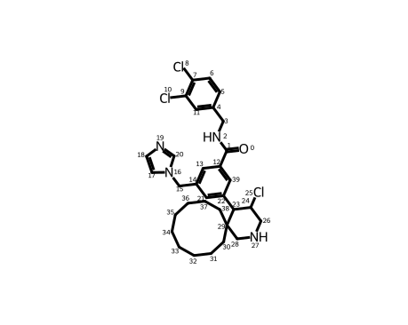 O=C(NCc1ccc(Cl)c(Cl)c1)c1cc(Cn2ccnc2)cc(C2C(Cl)CNCC23CCCCCCCCC3)c1